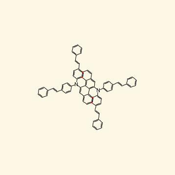 C(=Cc1ccc(N(c2ccc(C=Cc3ccccc3)cc2)c2cc3ccccc3c3c(N(c4ccc(C=Cc5ccccc5)cc4)c4ccc(C=Cc5ccccc5)cc4)cc4ccccc4c23)cc1)c1ccccc1